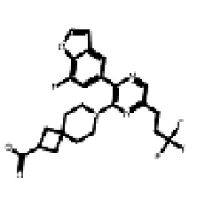 O=C(O)C1CC2(CCN(c3nc(CCC(F)(F)F)cnc3-c3cc(F)c4occc4c3)CC2)C1